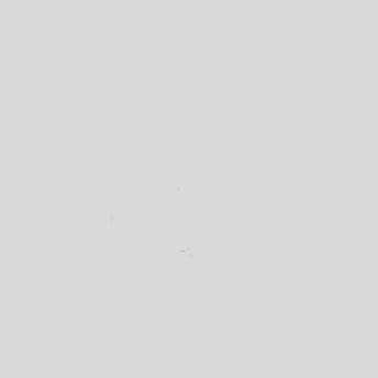 S[CH]CCC(C(S)c1ccccc1)C([C](S)C(S)c1ccccc1)(C(S)c1ccccc1)C(S)c1ccccc1